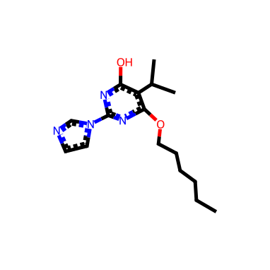 CCCCCCOc1nc(-n2ccnc2)nc(O)c1C(C)C